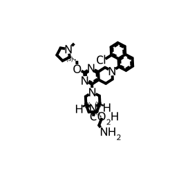 CN1CCC[C@H]1COc1nc2c(c(N3C[C@H]4C[C@@H](CCN)[C@@H](C3)N4C(=O)O)n1)CCN(c1cccc3cccc(Cl)c13)C2